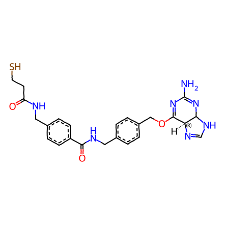 NC1=NC2NC=N[C@H]2C(OCc2ccc(CNC(=O)c3ccc(CNC(=O)CCS)cc3)cc2)=N1